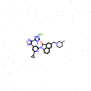 C[C@H]1CCCN(Cc2cc3c4c(cccc4c2)N(c2cc(-c4nsnc4-c4nncn4C)cc(C4CC4)n2)C3=O)C1.Cl